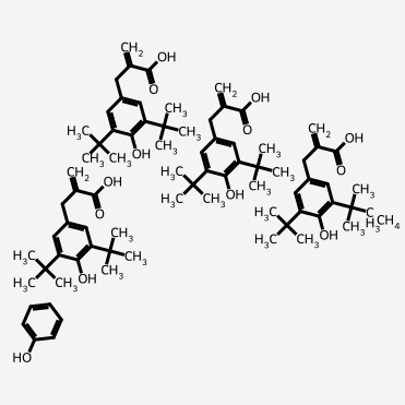 C.C=C(Cc1cc(C(C)(C)C)c(O)c(C(C)(C)C)c1)C(=O)O.C=C(Cc1cc(C(C)(C)C)c(O)c(C(C)(C)C)c1)C(=O)O.C=C(Cc1cc(C(C)(C)C)c(O)c(C(C)(C)C)c1)C(=O)O.C=C(Cc1cc(C(C)(C)C)c(O)c(C(C)(C)C)c1)C(=O)O.Oc1ccccc1